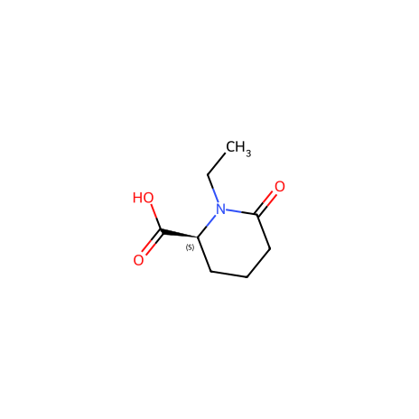 CCN1C(=O)CCC[C@H]1C(=O)O